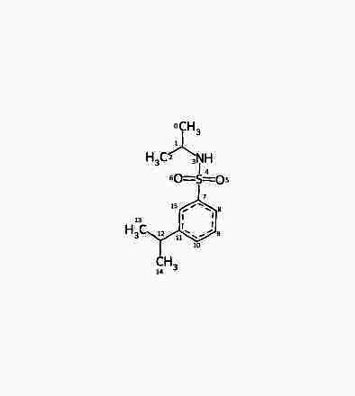 CC(C)NS(=O)(=O)c1cccc(C(C)C)c1